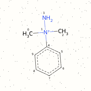 C[N+](C)(N)c1ccccc1